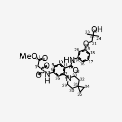 COC(=O)CS(=O)(=O)Nc1ccc(C(=O)Nc2cccc(OCC(C)(C)O)c2)c(N2CCC3(CC2)CC3)c1